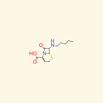 CCCCCNC1C(=O)N2C(C(=O)O)=CCSC12